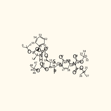 CC(C)OC(=O)[C@H](C)NP(=O)(OC[C@H]1S[C@@H](n2ccc(N(C(=O)OC(C)(C)C)C(=O)OC(C)(C)C)nc2=O)[C@@H](F)[C@@H]1OC(=O)OC(C)(C)C)Oc1ccccc1